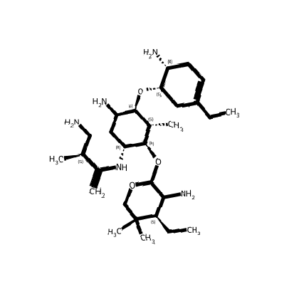 C=C(N[C@@H]1CC(N)[C@@H](O[C@H]2CC(CC)=CC[C@H]2N)[C@H](C)[C@H]1OC1OCC(C)(C)[C@H](CC)C1N)[C@@H](C)CN